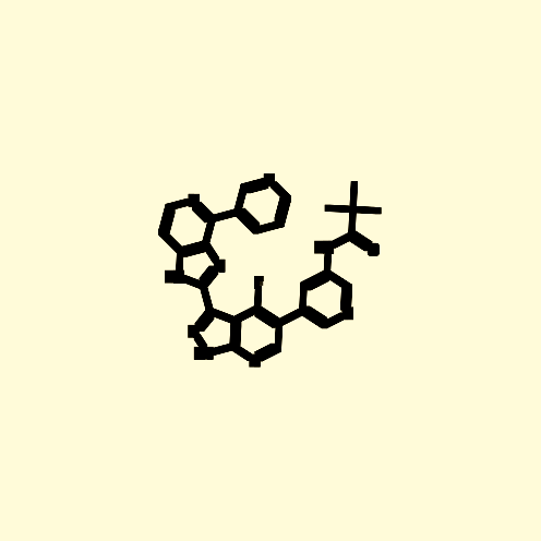 CC(C)(C)C(=O)Nc1cncc(-c2cnc3[nH]nc(-c4nc5c(-c6cccnc6)nccc5[nH]4)c3c2F)c1